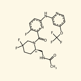 CC(=O)NC[C@H]1CCC(F)(F)CN1C(=O)c1nc(Nc2cc(OC(F)(F)F)ccn2)ccc1F